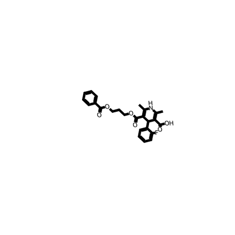 CC1=C(C(=O)O)C(c2ccccc2F)C(C(=O)OCCCOC(=O)c2ccccc2)=C(C)N1